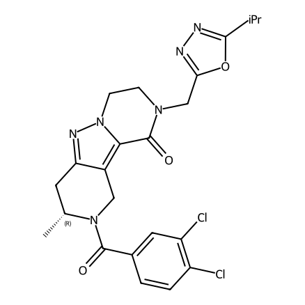 CC(C)c1nnc(CN2CCn3nc4c(c3C2=O)CN(C(=O)c2ccc(Cl)c(Cl)c2)[C@H](C)C4)o1